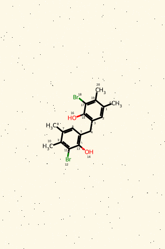 Cc1cc(Cc2cc(C)c(C)c(Br)c2O)c(O)c(Br)c1C